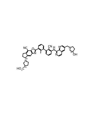 Cc1c(-c2nc3cc4c(c(C#N)c3o2)CC[C@H]4N2CC[C@@H](C(=O)O)C2)cccc1-c1cccc(Nc2nccc3cc(CN4CC[C@@H](O)C4)cnc23)c1C#N